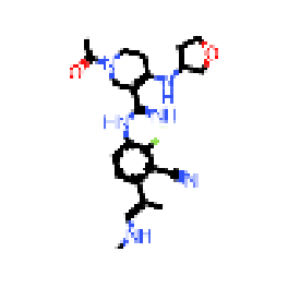 CN/C=C(\C)c1ccc(NC(=N)C2=C(NC3CCOC3)CCN(C(C)=O)C2)c(F)c1C#N